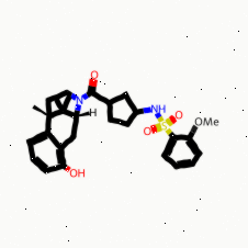 COc1ccccc1S(=O)(=O)NC1CCC(C(=O)N2CC[C@@]3(C)c4cccc(O)c4C[C@@H]2C3(C)C)C1